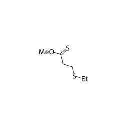 CCSCCC(=S)OC